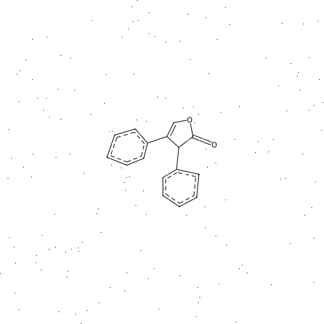 O=C1OC=C(c2ccccc2)C1c1ccccc1